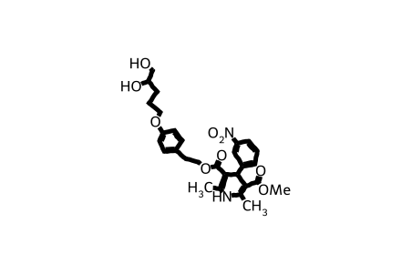 COC(=O)C1=C(C)NC(C)=C(C(=O)OCCc2ccc(OCCCC(O)CO)cc2)C1c1cccc([N+](=O)[O-])c1